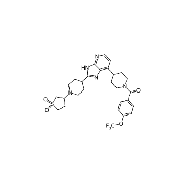 O=C(c1ccc(OC(F)(F)F)cc1)N1CCC(c2ccnc3[nH]c(C4CCN(C5CCS(=O)(=O)C5)CC4)nc23)CC1